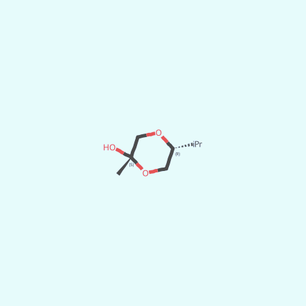 CC(C)[C@@H]1CO[C@](C)(O)CO1